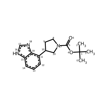 CC(C)(C)OC(=O)N1CCC(c2cccc3[nH]cnc23)C1